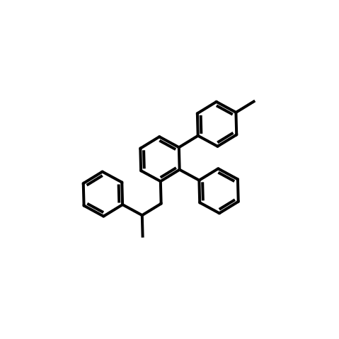 Cc1ccc(-c2cccc(CC(C)c3ccccc3)c2-c2ccccc2)cc1